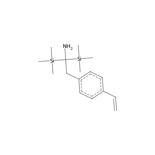 C=Cc1ccc(CC(N)([Si](C)(C)C)[Si](C)(C)C)cc1